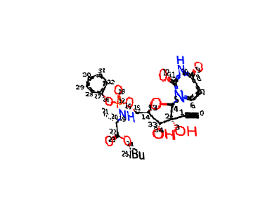 C#C[C@]1(O)C(n2ccc(=O)[nH]c2=O)O[C@H](COP(=O)(N[C@@H](C)C(=O)O[C@H](C)CC)Oc2ccccc2)[C@H]1O